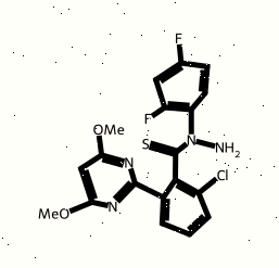 COc1cc(OC)nc(-c2cccc(Cl)c2C(=S)N(N)c2ccc(F)cc2F)n1